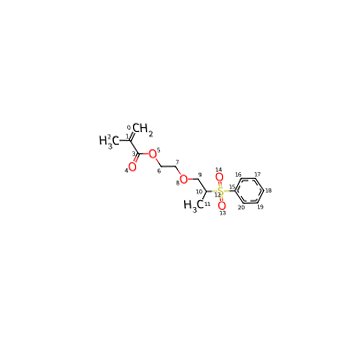 C=C(C)C(=O)OCCOCC(C)S(=O)(=O)c1ccccc1